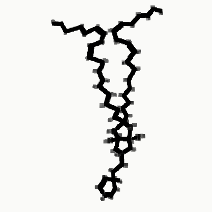 CCCCC/C=C\C/C=C\CCCCCCCCC1(CCCCCCCC/C=C\C/C=C\CCCCC)O[C@H]2CN(CCC3(C)C=CN=CC3)C[C@@H]2O1